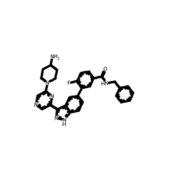 NC1CCN(c2cncc(-c3n[nH]c4ccc(-c5cc(C(=O)NCc6ccccc6)ccc5F)cc34)n2)CC1